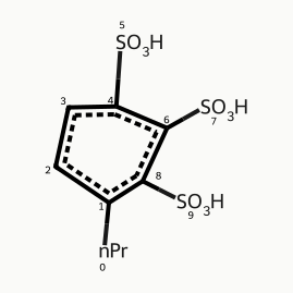 CCCc1ccc(S(=O)(=O)O)c(S(=O)(=O)O)c1S(=O)(=O)O